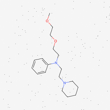 COCCOCCN(CCN1CCCCC1)c1ccccc1